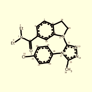 CCN(CC)C(=O)c1ccc2c(c1)N(c1nnc(C)n1-c1ccc(Cl)cc1)CC2